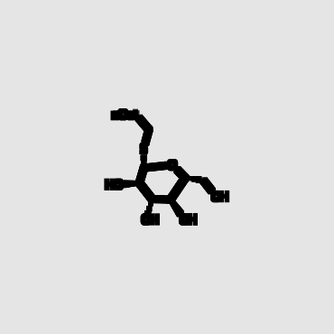 CCCCCCCCCS[C@@H]1O[C@H](CO)[C@@H](O)[C@H](O)[C@H]1O